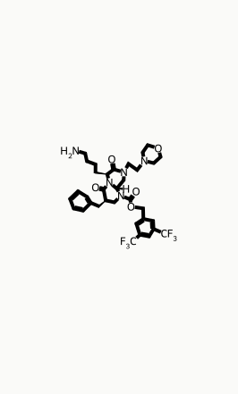 NCCCC[C@H]1C(=O)N(CCN2CCOCC2)C[C@@H]2N(C(=O)OCc3cc(C(F)(F)F)cc(C(F)(F)F)c3)C[C@@H](Cc3ccccc3)C(=O)N21